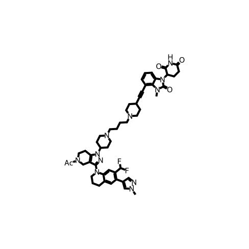 CC(=O)N1CCc2c(c(N3CCCc4cc(-c5cnn(C)c5)c(C(F)F)cc43)nn2C2CCN(CCCCN3CCC(C#Cc4cccc5c4n(C)c(=O)n5C4CCC(=O)NC4=O)CC3)CC2)C1